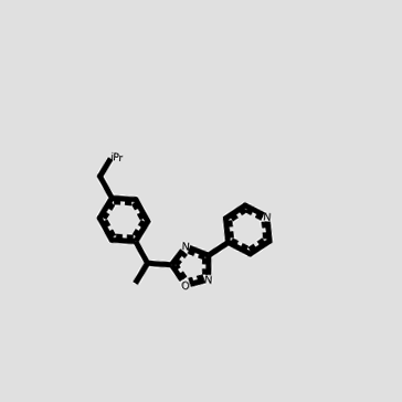 CC(C)Cc1ccc(C(C)c2nc(-c3ccncc3)no2)cc1